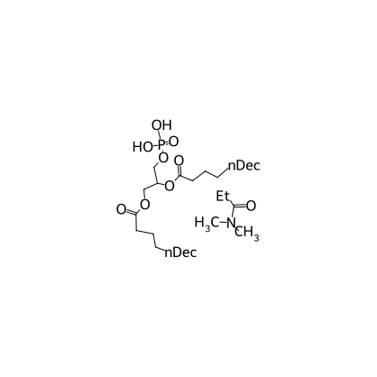 CCC(=O)N(C)C.CCCCCCCCCCCCCC(=O)OCC(COP(=O)(O)O)OC(=O)CCCCCCCCCCCCC